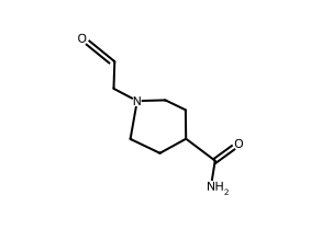 NC(=O)C1CCN(CC=O)CC1